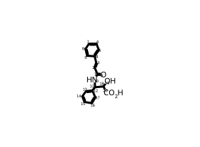 O=C(C=Cc1ccccc1)NC(c1ccccc1)C(O)C(=O)O